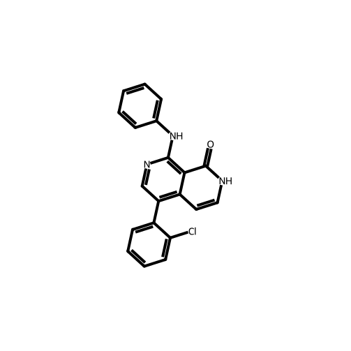 O=c1[nH]ccc2c(-c3ccccc3Cl)cnc(Nc3ccccc3)c12